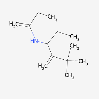 C=C(CC)NC(CC)C(=C)C(C)(C)C